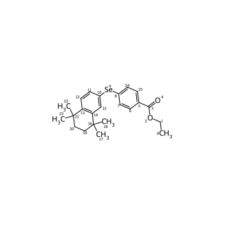 CCOC(=O)c1ccc([Se]c2ccc3c(c2)C(C)(C)CCC3(C)C)cc1